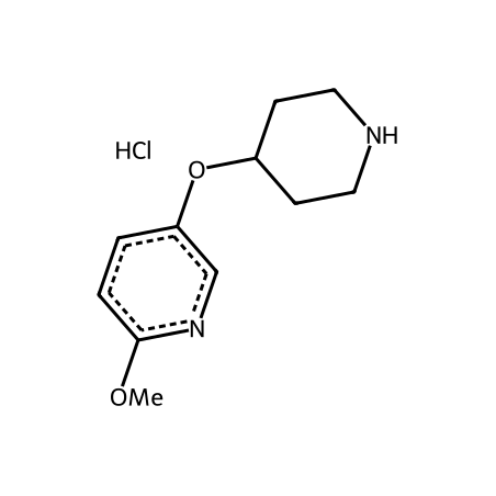 COc1ccc(OC2CCNCC2)cn1.Cl